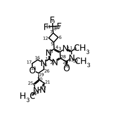 Cc1nc2c(C3CC(C(F)(F)F)C3)nc(N3CCO[C@H](c4cnn(C)c4)C3)nc2c(=O)n1C